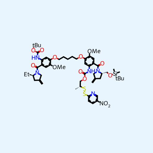 C=C1C[C@@H](CO[Si](C)(C)C(C)(C)C)N(C(=O)c2cc(OC)c(OCCCCCOc3cc(NC(=O)OC(C)(C)C)c(C(=O)N4CC(=C)C[C@H]4CC)cc3OC)cc2NC(=O)OC[C@@H](C)SSc2ccc([N+](=O)[O-])cn2)C1